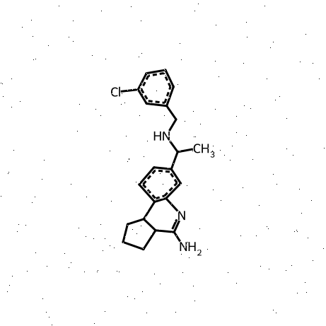 CC(NCc1cccc(Cl)c1)c1ccc2c(c1)N=C(N)C1CCCC21